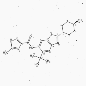 Cc1nc(C(=O)Nc2cc3sc([C@H]4CC[C@H](C)CC4)nc3cc2C(C)(C)O)co1